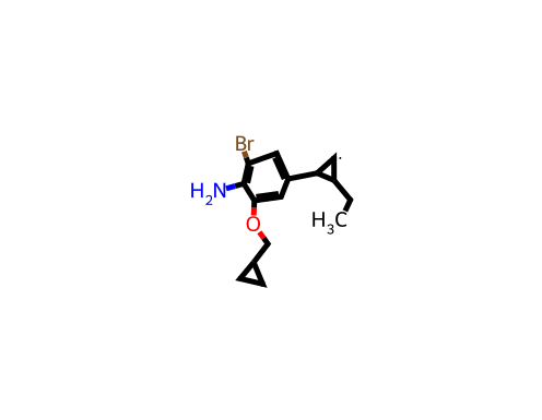 CCC1[CH]C1c1cc(Br)c(N)c(OCC2CC2)c1